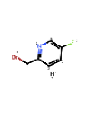 Fc1ccc(CBr)nc1.[H+]